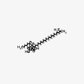 CCCCCC(=O)OC(=O)C(CCCCCCCCCCCCCCCCCCCC(C)C)C(O)(CC(=O)O)C(=O)O